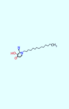 CCCCCCCCCCCCCCn1ccc(=O)c(O)c1C#N